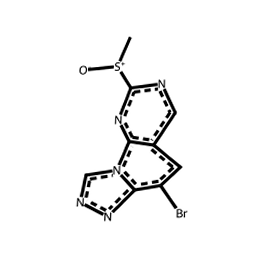 C[S+]([O-])c1ncc2cc(Br)c3nncn3c2n1